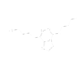 ClCCCOc1nnc(SCCCCl)n2ccnc12